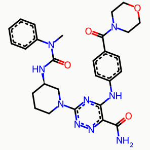 CN(C(=O)N[C@@H]1CCCN(c2nnc(C(N)=O)c(Nc3ccc(C(=O)N4CCOCC4)cc3)n2)C1)c1ccccc1